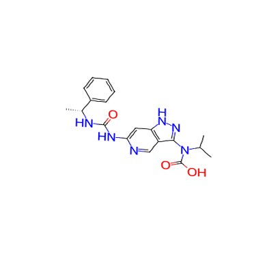 CC(C)N(C(=O)O)c1n[nH]c2cc(NC(=O)N[C@H](C)c3ccccc3)ncc12